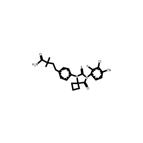 CC(C)(CCc1ccc(N2C(=S)N(c3ccc(C#N)c(Cl)c3F)C(=O)C23CCC3)cc1)C(N)=O